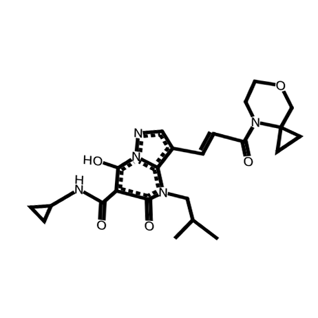 CC(C)Cn1c(=O)c(C(=O)NC2CC2)c(O)n2ncc(C=CC(=O)N3CCOCC34CC4)c12